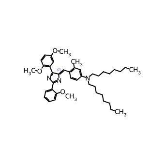 CCCCCCCCN(CCCCCCCC)c1ccc(/C=C2\N=C(c3ccccc3OC)N=C2c2cc(OC)ccc2OC)c(C)c1